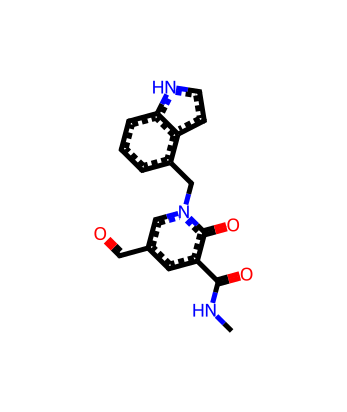 CNC(=O)c1cc(C=O)cn(Cc2cccc3[nH]ccc23)c1=O